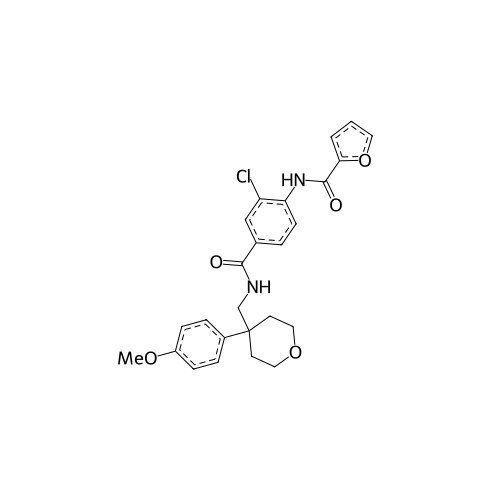 COc1ccc(C2(CNC(=O)c3ccc(NC(=O)c4ccco4)c(Cl)c3)CCOCC2)cc1